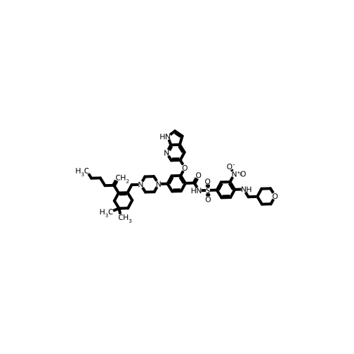 C=C(CCCC)C1=C(CN2CCN(c3ccc(C(=O)NS(=O)(=O)c4ccc(NCC5CCOCC5)c([N+](=O)[O-])c4)c(Oc4cnc5[nH]ccc5c4)c3)CC2)CCC(C)(C)C1